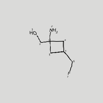 NC1(CO)CC(CF)C1